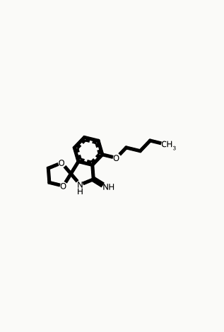 CCCCOc1cccc2c1C(=N)NC21OCCO1